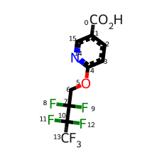 O=C(O)c1ccc(OCC(F)(F)C(F)(F)C(F)(F)F)nc1